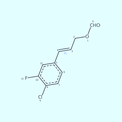 O=[C]OC/C=C/c1ccc(Cl)c(F)c1